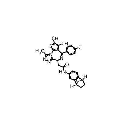 Cc1sc2c(c1C)C(c1ccc(Cl)cc1)=N[C@@H](CC(=O)Nc1ccc3c(c1)[C@H]1CC[C@@H]3O1)c1nnc(C)n1-2